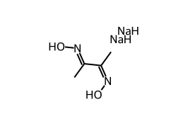 CC(=NO)C(C)=NO.[NaH].[NaH]